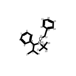 CC(C)C(c1ccccc1)N(OCc1ccccc1)C(C)(C)C